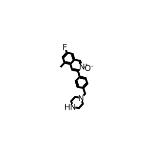 Cc1cc(F)cc2c[n+]([O-])c(-c3ccc(CN4CCNCC4)cc3)cc12